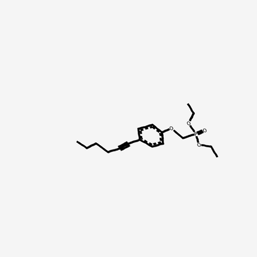 CCCCC#Cc1ccc(OCP(=O)(OCC)OCC)cc1